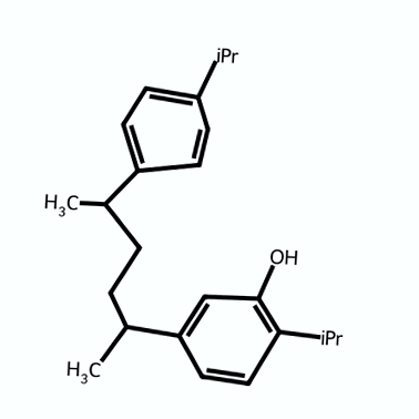 CC(C)c1ccc(C(C)CCC(C)c2ccc(C(C)C)c(O)c2)cc1